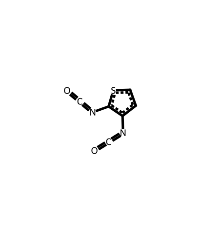 O=C=Nc1ccsc1N=C=O